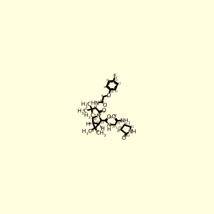 CC(C)(C)[C@H](NC(=O)COc1ccc(F)cc1)C(=O)N1C[C@H]2[C@@H](C1C(=O)N[C@@H](C[C@@H]1CCNC1=O)C(N)=O)C2(C)C